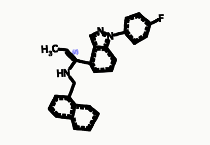 C/C=C(\NCc1cccc2ccccc12)c1cccc2c1cnn2-c1ccc(F)cc1